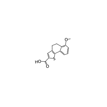 COc1cccc2c1CCc1cc(C(=O)O)sc1-2